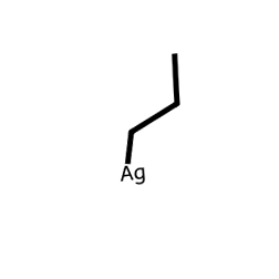 CC[CH2][Ag]